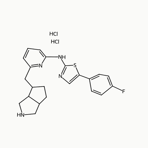 Cl.Cl.Fc1ccc(-c2cnc(Nc3cccc(CC4CCC5CNCC54)n3)s2)cc1